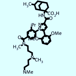 CNCCCN(C)CCCN(C)C(=O)c1ccc(-n2nc(C(=O)NC3(C(=O)O)CCC4CC(C)CC3C4)cc2-c2c(OC)cccc2OC)c(C(C)C)c1